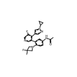 CC(=O)Nc1ccc(N2CC(F)(F)C2)c(-c2cncc(F)c2-c2cnn(C3CC3)c2)c1